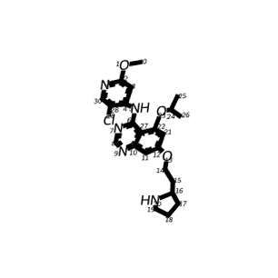 COc1cc(Nc2ncnc3cc(OCCC4CCCN4)cc(OC(C)C)c23)c(Cl)cn1